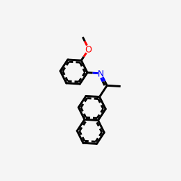 COc1ccccc1/N=C(/C)c1ccc2ccccc2c1